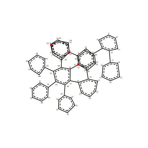 c1ccc(-c2nc(-c3ccccc3-c3ccccc3)nc(-c3ccccc3-c3c(-c4ccccc4)c(-c4ccccc4)c(-c4ccccc4)c(-c4ccccc4)c3-c3ccccc3)n2)cc1